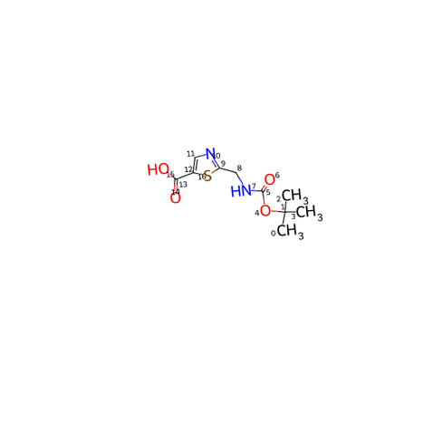 CC(C)(C)OC(=O)NCc1ncc(C(=O)O)s1